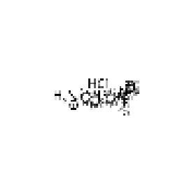 Cl.NC(=O)c1ccc2nc(-c3ccc(-n4nc(C(F)(F)F)cc4C4CC4)cc3)ccc2c1